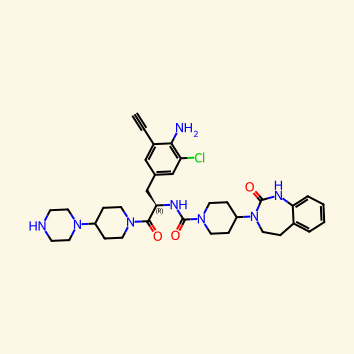 C#Cc1cc(C[C@@H](NC(=O)N2CCC(N3CCc4ccccc4NC3=O)CC2)C(=O)N2CCC(N3CCNCC3)CC2)cc(Cl)c1N